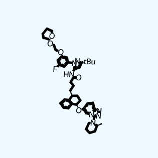 C[C@H]1CCCCN1c1nnc2ccc(O[C@@H]3CC[C@H](CCCC(=O)Nc4cc(C(C)(C)C)nn4-c4cc(F)cc(OCCOC5CCCCO5)c4)c4ccccc43)cn12